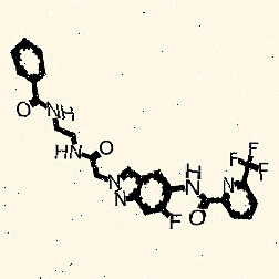 O=C(Cn1cc2cc(NC(=O)c3cccc(C(F)(F)F)n3)c(F)cc2n1)NCCNC(=O)c1ccccc1